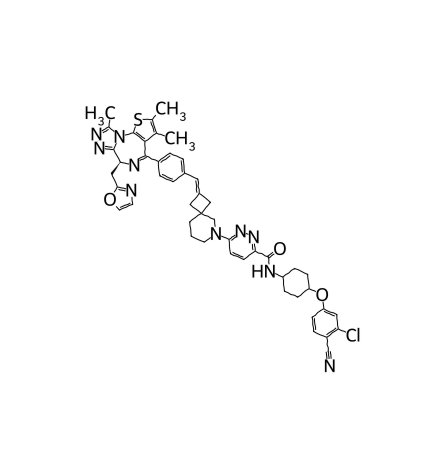 Cc1sc2c(c1C)C(c1ccc(C=C3CC4(CCCN(c5ccc(C(=O)NC6CCC(Oc7ccc(C#N)c(Cl)c7)CC6)nn5)C4)C3)cc1)=N[C@@H](Cc1ncco1)c1nnc(C)n1-2